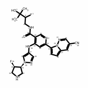 CC(C)(O)C(F)CNC(=O)c1cnc(-c2ccc3cc(C#N)cnn23)cc1Nc1cnn([C@H]2CNC[C@H]2F)c1